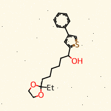 CCC1(CCCCCC(O)c2cc(-c3ccccc3)cs2)OCCO1